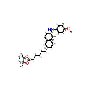 COc1ccc(Nc2ccc3cc(CCCCCB4OC(C)(C)C(C)(C)O4)ccc3c2)cc1